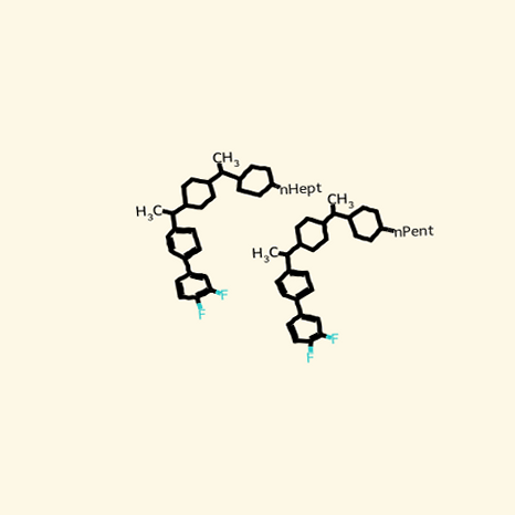 CCCCCC1CCC(C(C)C2CCC(C(C)c3ccc(-c4ccc(F)c(F)c4)cc3)CC2)CC1.CCCCCCCC1CCC(C(C)C2CCC(C(C)c3ccc(-c4ccc(F)c(F)c4)cc3)CC2)CC1